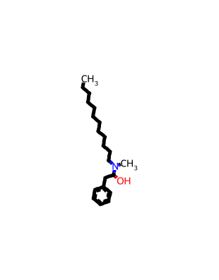 CCCCCCCCCCCCN(C)C(O)Cc1ccccc1